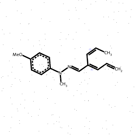 C=C/C=C(C=NN(C)c1ccc(OC)cc1)\C=C/C